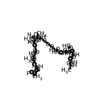 CCCNC(=O)Nc1cccc(S(=O)(=O)Nc2cccc([C@@H](CC(=O)O)NC(=O)Nc3ccc(NC(=O)NCCOCCOCCOCCC(=O)N[C@H](C(=O)N[C@@H](C)C(=O)Nc4ccc(COC(=O)NCC(=O)N=S(C)(=O)Cc5ccnc(Nc6cc(-c7ccc(F)cc7OC)c(F)cn6)c5)cc4)C(C)C)cc3)c2)c1